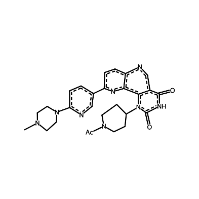 CC(=O)N1CCC(n2c(=O)[nH]c(=O)c3cnc4ccc(-c5ccc(N6CCN(C)CC6)nc5)nc4c32)CC1